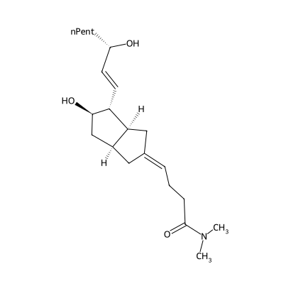 CCCCC[C@H](O)/C=C/[C@@H]1[C@H]2C/C(=C/CCC(=O)N(C)C)C[C@H]2C[C@H]1O